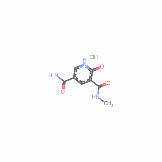 CNC(=O)c1cc(C(N)=O)c[nH]c1=O.Cl